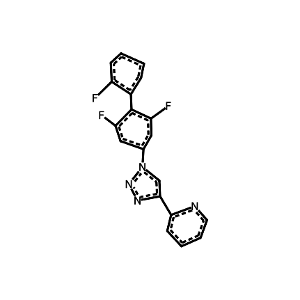 Fc1ccccc1-c1c(F)cc(-n2cc(-c3ccccn3)nn2)cc1F